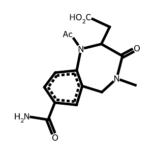 CC(=O)N1c2ccc(C(N)=O)cc2CN(C)C(=O)C1CC(=O)O